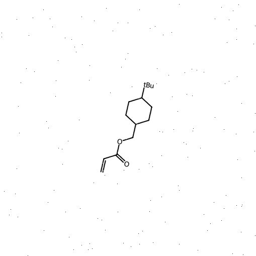 C=CC(=O)OCC1CCC(C(C)(C)C)CC1